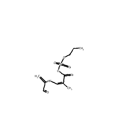 C=C(C=O)NC=C(C)C(=O)OS(=O)(=O)OCCC